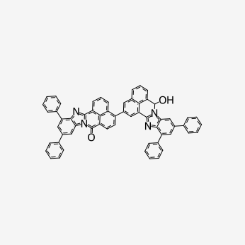 O=c1c2ccc(-c3cc4c5c(cccc5c3)C(O)n3c-4nc4c(-c5ccccc5)cc(-c5ccccc5)cc43)c3cccc(c32)c2nc3c(-c4ccccc4)cc(-c4ccccc4)cc3n12